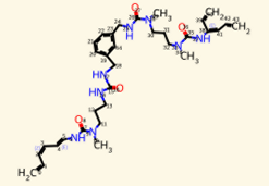 C=C/C=C\C=C\NC(=O)N(C)CCCNC(=O)NCc1cccc(CNC(=O)N(C)CCCN(C)C(=O)N/C(C=C)=C/C=C)c1